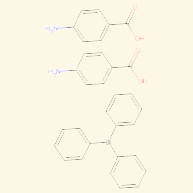 Nc1ccc(C(=O)O)cc1.Nc1ccc(C(=O)O)cc1.c1cc[c]([Bi]([c]2ccccc2)[c]2ccccc2)cc1